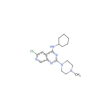 CN1CCN(c2nc(NC3CCCCC3)c3cc(Cl)ncc3n2)CC1